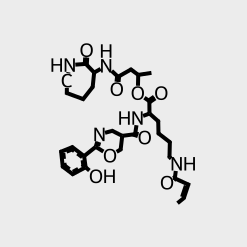 C/C=C\C(=O)NCCCCC(NC(=O)C1CN=C(c2ccccc2O)OC1)C(=O)OC(C)CC(=O)NC1CCCCNC1=O